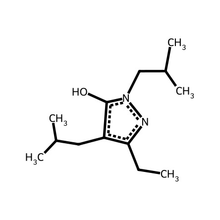 CCc1nn(CC(C)C)c(O)c1CC(C)C